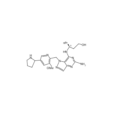 CCC[C@@H](CCO)Nc1nc(N)nc2cnn(Cc3ncc(C4CCCN4)cc3OC)c12